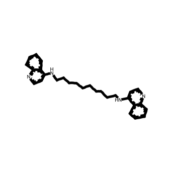 c1ccc2c(NCCCCCCCCCCNc3ccnc4ccccc34)ccnc2c1